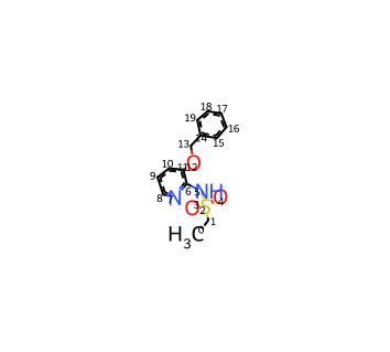 CCS(=O)(=O)Nc1ncccc1OCc1ccccc1